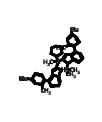 Cc1cc(C(C)(C)C)ccc1-c1cccc2c1C=C1[CH]2[Hf]([CH3])([CH3])[CH]2C(=Cc3c(-c4ccc(C(C)(C)C)cc4C)cccc32)[Si]1(C)C1CCCCC1